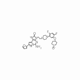 Cn1c(=O)n(CCN2CCN(c3cc(OC4CC[S+]([O-])CC4)c(F)cc3F)CC2)c2nc(N)n3nc(-c4ccco4)cc3c21